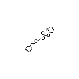 O=C(OCCOCCc1ccccc1)Oc1ccccn1